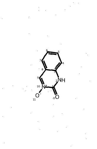 O=c1[nH]c2ccccc2c[n+]1[O-]